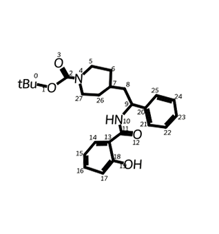 CC(C)(C)OC(=O)N1CCC(CC(NC(=O)c2ccccc2O)c2ccccc2)CC1